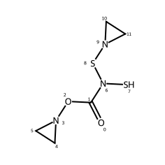 O=C(ON1CC1)N(S)SN1CC1